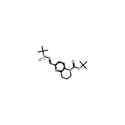 CC(C)(C)OC(=O)N1CCCc2nc(/C=N/[S@+]([O-])C(C)(C)C)ccc21